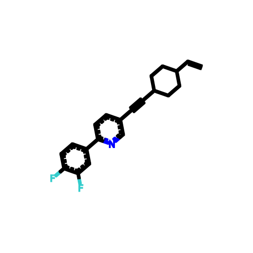 C=CC1CCC(C#Cc2ccc(-c3ccc(F)c(F)c3)nc2)CC1